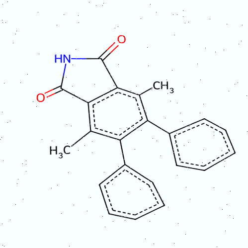 Cc1c2c(c(C)c(-c3ccccc3)c1-c1ccccc1)C(=O)NC2=O